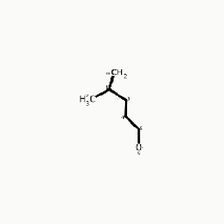 [CH2]C(C)CCC[O]